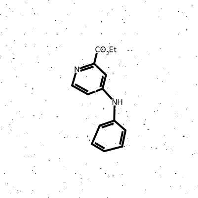 CCOC(=O)c1cc(Nc2ccccc2)ccn1